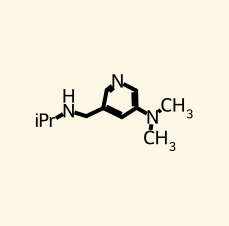 CC(C)NCc1cncc(N(C)C)c1